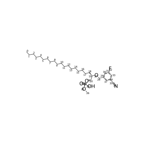 CCCCCCCCCCCCCCCCCCC[C@H](COP(=O)(O)OC)OCc1cc(F)cc(C#N)c1